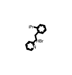 Br.CC(C)c1ccccc1CCc1ccccn1